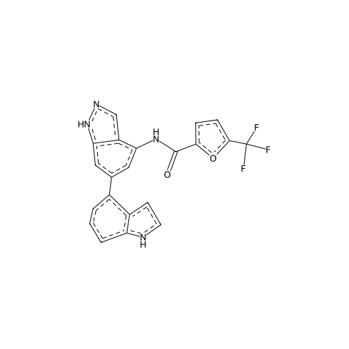 O=C(Nc1cc(-c2cccc3[nH]ccc23)cc2[nH]ncc12)c1ccc(C(F)(F)F)o1